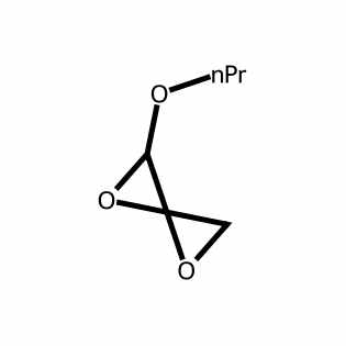 CCCO[C]1OC12CO2